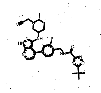 C[C@H]1CC[C@@H](Nc2n[nH]c3nccc(-c4ccc(CNC(=O)c5noc(C(C)(C)C)n5)c(F)c4)c23)CN1CC#N